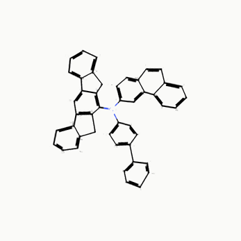 c1ccc(-c2ccc(N(c3ccc4ccc5ccccc5c4c3)c3c4c(cc5c3Cc3ccccc3-5)-c3ccccc3C4)cc2)cc1